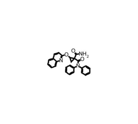 NC(=O)C1(C(=O)N(c2ccccc2)c2ccccc2)CC1Oc1ccc2ccccc2n1